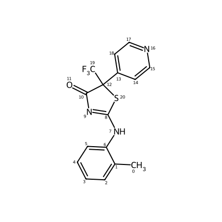 Cc1ccccc1NC1=NC(=O)C(c2ccncc2)(C(F)(F)F)S1